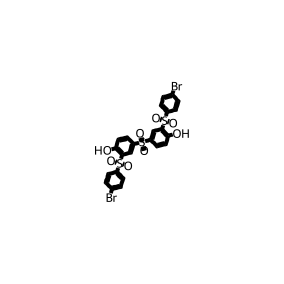 O=S(=O)(c1ccc(O)c(S(=O)(=O)c2ccc(Br)cc2)c1)c1ccc(O)c(S(=O)(=O)c2ccc(Br)cc2)c1